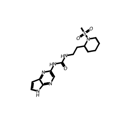 CS(=O)(=O)N1CCCCC1CCNC(=O)Nc1cnc2[nH]ccc2n1